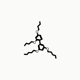 CCCCCOc1cc(OCCCCC)cc(-c2[c]cc(OCCCC)cc2OCCCC)c1